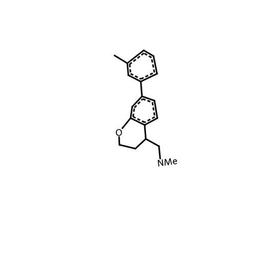 CNCC1CCOc2cc(-c3cccc(C)c3)ccc21